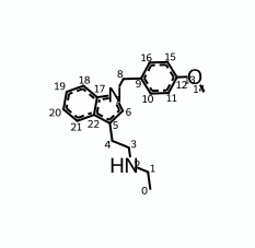 CCNCCc1cn(Cc2ccc(OC)cc2)c2ccccc12